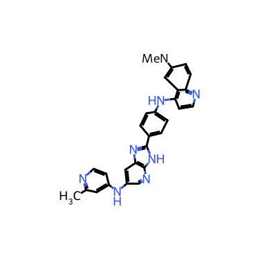 CNc1ccc2nccc(Nc3ccc(-c4nc5cc(Nc6ccnc(C)c6)cnc5[nH]4)cc3)c2c1